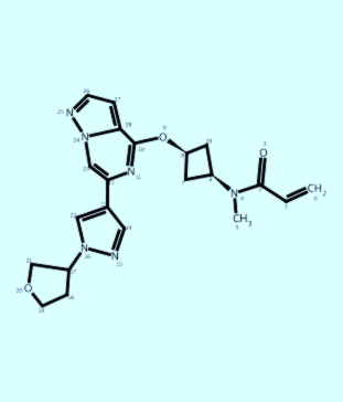 C=CC(=O)N(C)[C@H]1C[C@@H](Oc2nc(-c3cnn(C4CCOC4)c3)cn3nccc23)C1